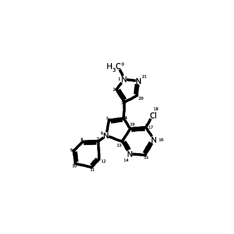 Cn1cc(-c2cn(-c3ccccc3)c3ncnc(Cl)c23)cn1